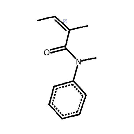 C/C=C(/C)C(=O)N(C)c1ccccc1